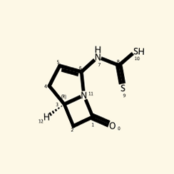 O=C1C[C@H]2CC=C(NC(=S)S)N12